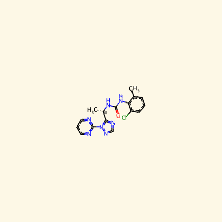 Cc1cccc(Cl)c1NC(=O)N[C@@H](C)c1ncnn1-c1ncccn1